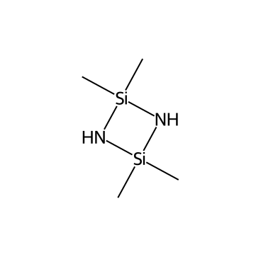 C[Si]1(C)N[Si](C)(C)N1